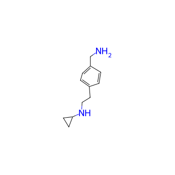 NCc1ccc(CCNC2CC2)cc1